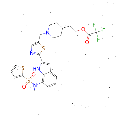 CN(c1cccc2cc(-c3ncc(CN4CCC(CCOC(=O)C(F)(F)F)CC4)s3)[nH]c12)S(=O)(=O)c1cccs1